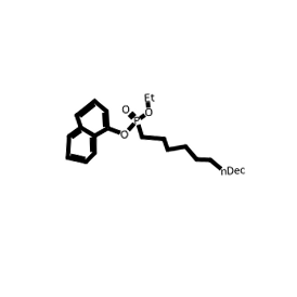 CCCCCCCCCCCCCCCCP(=O)(OCC)Oc1cccc2ccccc12